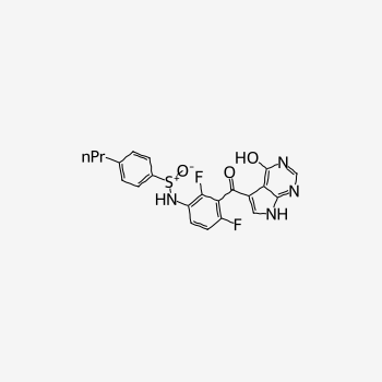 CCCc1ccc([S+]([O-])Nc2ccc(F)c(C(=O)c3c[nH]c4ncnc(O)c34)c2F)cc1